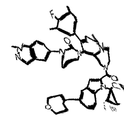 Cc1cc(-c2nn3c(c2-n2ccn(-c4ccc5c(cnn5C)c4)c2=O)CN(C(=O)c2cc4cc(C5CCOCC5)ccc4n2C2(C#N)C[C@@H]2C)CC3)cc(C)c1F